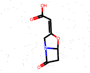 O=C(O)/C=C1\CN2C(=O)CC2O1